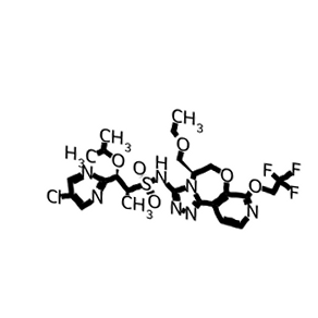 CCOC[C@H]1COc2c(ccnc2OCC(F)(F)F)-c2nnc(NS(=O)(=O)[C@@H](C)[C@@H](OC(C)C)c3ncc(Cl)cn3)n21